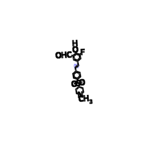 CN1CCC(S(=O)(=O)c2ccc(/C=C/c3cc(F)c(O)c(C=O)c3)cc2)CC1